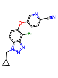 N#Cc1ccc(Oc2ccc3c(nnn3CC3CC3)c2Br)cn1